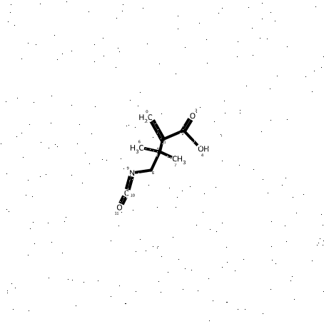 C=C(C(=O)O)C(C)(C)CN=C=O